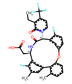 CCc1c(C(F)(F)F)ccn([C@H]2C(=O)N[C@H](CC(=O)O)c3cc(cc(C)c3F)-c3c(C)cccc3Oc3ccc(F)c2c3)c1=O